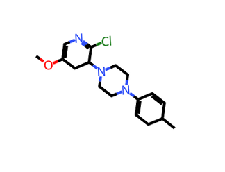 COC1=CN=C(Cl)C(N2CCN(C3=CCC(C)C=C3)CC2)C1